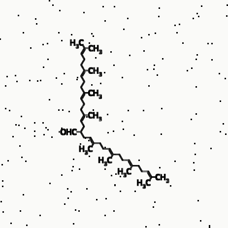 CC(C)=CCC/C(C)=C/CC/C(C)=C/CC/C(C)=C/CC([C]=O)C/C=C(\C)CC/C=C(\C)CC/C=C(\C)CCC=C(C)C